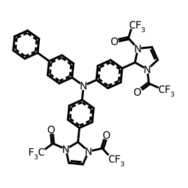 O=C(N1C=CN(C(=O)C(F)(F)F)C1c1ccc(N(c2ccc(-c3ccccc3)cc2)c2ccc(C3N(C(=O)C(F)(F)F)C=CN3C(=O)C(F)(F)F)cc2)cc1)C(F)(F)F